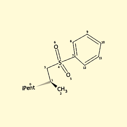 CCC[C@@H](C)[C@H](C)CS(=O)(=O)c1ccccc1